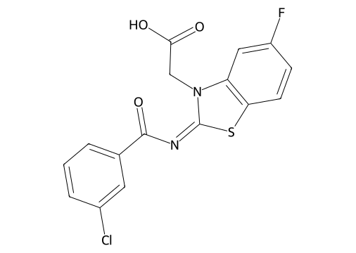 O=C(O)Cn1c(=NC(=O)c2cccc(Cl)c2)sc2ccc(F)cc21